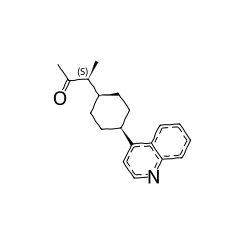 CC(=O)[C@@H](C)[C@H]1CC[C@@H](c2ccnc3ccccc32)CC1